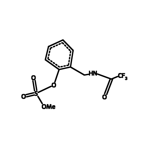 COS(=O)(=O)Oc1ccccc1CNC(=O)C(F)(F)F